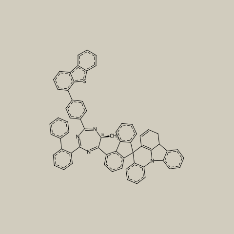 C[C@@H]1N=C(c2ccc(-c3cccc4c3sc3ccccc34)cc2)N=C(c2ccccc2-c2ccccc2)N=C1c1cccc2c1-c1ccccc1C21C2=C3C(CC=C2)c2ccccc2N3c2ccccc21